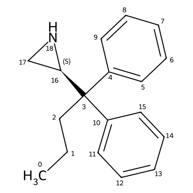 CCCC(c1ccccc1)(c1ccccc1)[C@H]1CN1